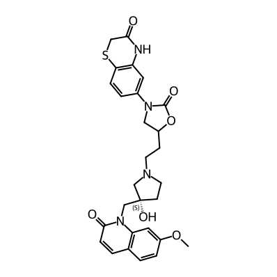 COc1ccc2ccc(=O)n(C[C@]3(O)CCN(CCC4CN(c5ccc6c(c5)NC(=O)CS6)C(=O)O4)C3)c2c1